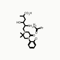 CC(C)C(N)=O.CC(CC(O)C(N)CN1CC(=O)N(c2ccccc2Cl)CC1(C)C)C(=O)O